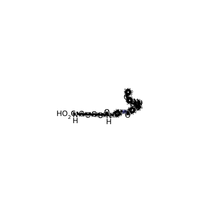 O=C(O)NCCOCCOCCOCCOCCC(=O)NCCN1CCN(C/C=C/C(=O)N2CCC(n3ccc4ncnc(Oc5ccc(Oc6ccccc6)cc5)c43)CC2)CC1